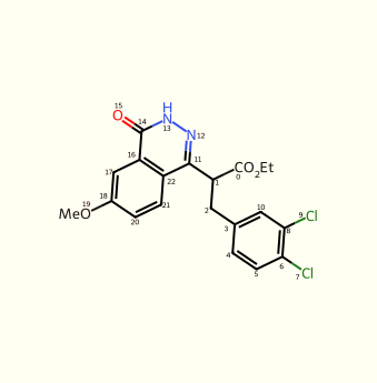 CCOC(=O)C(Cc1ccc(Cl)c(Cl)c1)c1n[nH]c(=O)c2cc(OC)ccc12